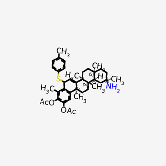 CC(=O)Oc1cc2c(c(C)c1OC(C)=O)C(Sc1ccc(C)cc1)C=C1[C@@]2(C)CC[C@@]2(C)[C@@H]3C[C@](C)(N)CC[C@]3(C)CC[C@]12C